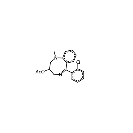 CC(=O)OC1CN=C(c2ccccc2Cl)c2ccccc2N(C)C1